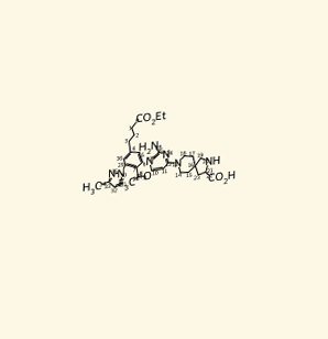 CCOC(=O)CCCc1ccc([C@@H](Oc2cc(N3CCC4(CC3)CNC(C(=O)O)C4)nc(N)n2)C(F)(F)F)c(-n2ccc(C)n2)c1